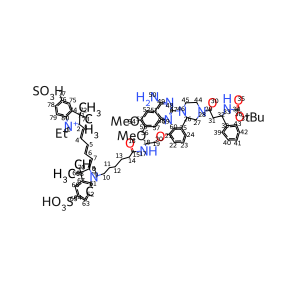 CC[N+]1=C(C=CC=CC=C2N(CCCCCC(=O)NCCOc3cccc(C4CN(C(=O)CC(NC(=O)OC(C)(C)C)c5ccccc5)CCN4c4nc(N)c5cc(OC)c(OC)cc5n4)c3)c3ccc(S(=O)(=O)O)cc3C2(C)C)C(C)(C)c2cc(S(=O)(=O)O)ccc21